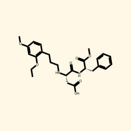 CCOc1cc(OC)ccc1CCCN[C@@H](CC(=O)O)C(=O)N[C@@H](Cc1ccccc1)C(=O)OC